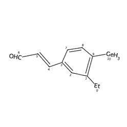 CCc1cc(C=CC=O)cc[c]1[GeH3]